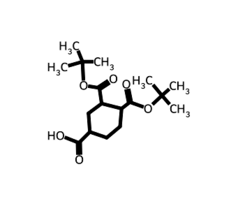 CC(C)(C)OC(=O)C1CCC(C(=O)O)CC1C(=O)OC(C)(C)C